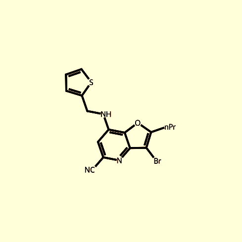 CCCc1oc2c(NCc3cccs3)cc(C#N)nc2c1Br